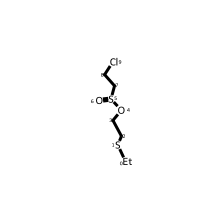 CCSCCOS(=O)CCCl